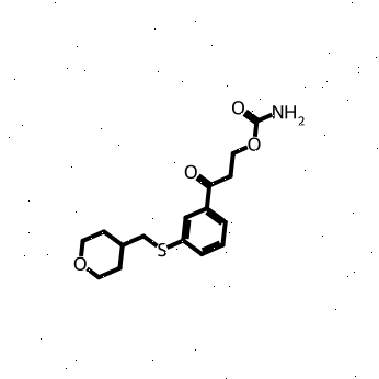 NC(=O)OCCC(=O)c1cccc(SCC2CCOCC2)c1